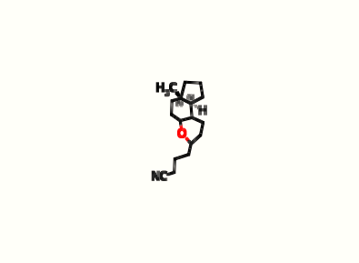 C[C@@]12CCC[C@H]1C1CCC(CCCC#N)OC1CC2